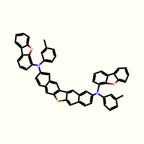 Cc1cccc(N(c2ccc3cc4sc5cc6ccc(N(c7cccc(C)c7)c7cccc8c7oc7ccccc78)cc6cc5c4cc3c2)c2cccc3c2oc2ccccc23)c1